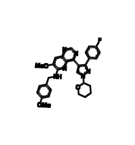 COc1ccc(CNc2nc3c(-c4cn(C5CCCCO5)nc4-c4ccc(F)cc4)ncnc3cc2OC)cc1